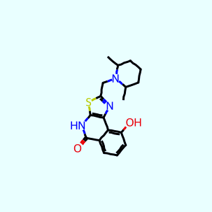 CC1CCCC(C)N1Cc1nc2c([nH]c(=O)c3cccc(O)c32)s1